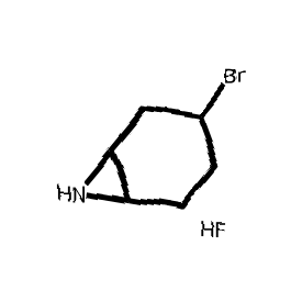 BrC1CCC2NC2C1.F